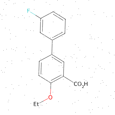 CCOc1ccc(-c2cccc(F)c2)cc1C(=O)O